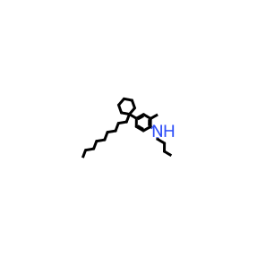 CCCCCCCCCC1(c2ccc(NCCCC)c(C)c2)CCCCC1